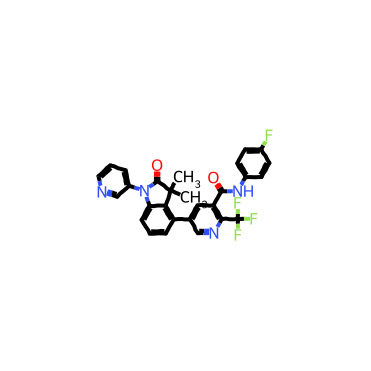 CC1(C)C(=O)N(c2cccnc2)c2cccc(-c3cnc(C(F)(F)F)c(C(=O)Nc4ccc(F)cc4)c3)c21